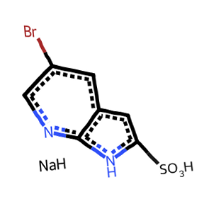 O=S(=O)(O)c1cc2cc(Br)cnc2[nH]1.[NaH]